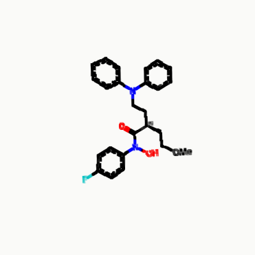 COCC[C@H](CCN(c1ccccc1)c1ccccc1)C(=O)N(O)c1ccc(F)cc1